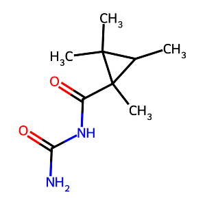 CC1C(C)(C)C1(C)C(=O)NC(N)=O